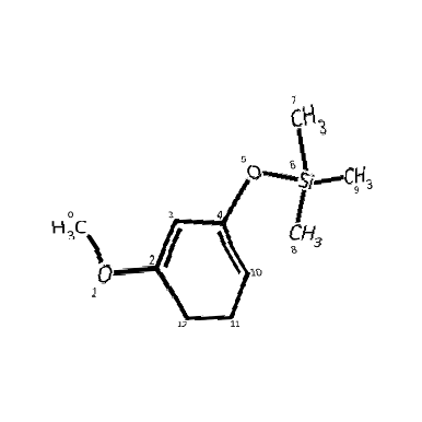 COC1=CC(O[Si](C)(C)C)=CCC1